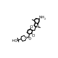 Cc1cc(N)cc2c1cc(Cc1c(Cl)ccc(C(=O)N3CCC(C(C)(C)O)CC3)c1Cl)n2C